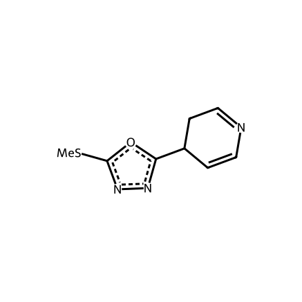 CSc1nnc(C2C=CN=CC2)o1